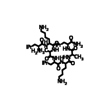 CC(C)CC(NC(=O)C(C)NC(=O)C(CCCCN)NC(=O)C(CC(C)C)NC(=O)C(C)NC(=O)C(CCCCN)NC(=O)[C@@H](N)CC(C)C)C(N)=O